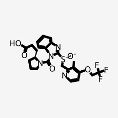 Cc1c(OCC(F)(F)F)ccnc1C[S@@+]([O-])c1nc2ccccc2n1C(=O)N1CCC[C@H]1CCC(=O)O